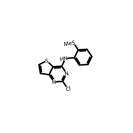 CSc1ccccc1Nc1nc(Cl)nc2ccsc12